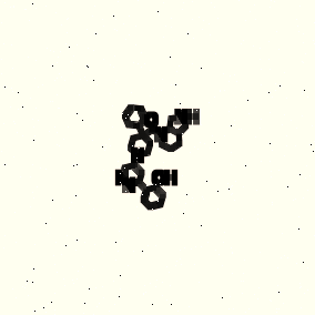 O=C(N1CCCC2CNCC21)C1(c2ccccc2)CCN(c2cnnc(-c3ccccc3O)c2)CC1